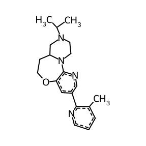 Cc1cccnc1-c1cnc2c(c1)OCCC1CN(C(C)C)CCN21